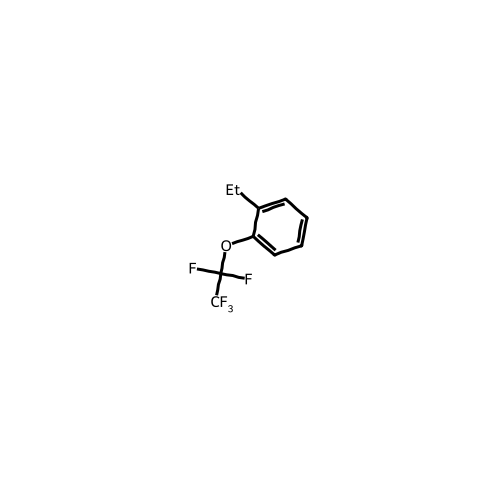 [CH]Cc1ccccc1OC(F)(F)C(F)(F)F